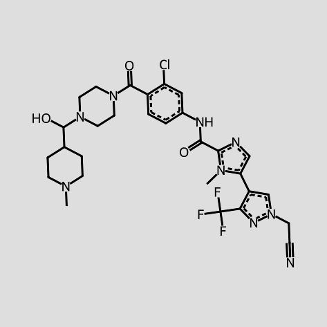 CN1CCC(C(O)N2CCN(C(=O)c3ccc(NC(=O)c4ncc(-c5cn(CC#N)nc5C(F)(F)F)n4C)cc3Cl)CC2)CC1